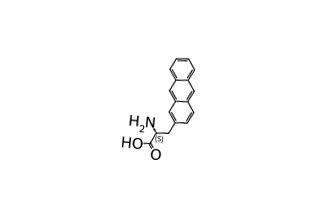 N[C@@H](Cc1ccc2cc3ccccc3cc2c1)C(=O)O